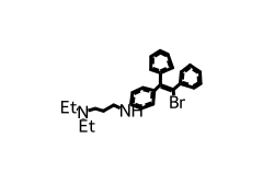 CCN(CC)CCCNc1ccc(/C(=C(\Br)c2ccccc2)c2ccccc2)cc1